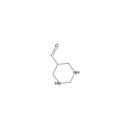 O=[C]C1CNCNC1